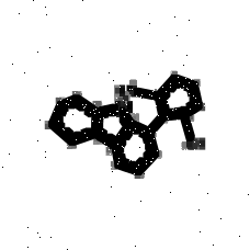 Nc1cccc(O)c1-c1cccc2c1[nH]c1ccccc12